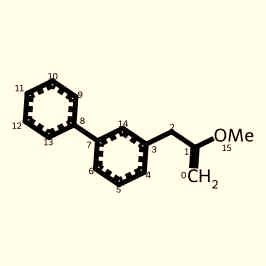 C=C(Cc1cccc(-c2ccccc2)c1)OC